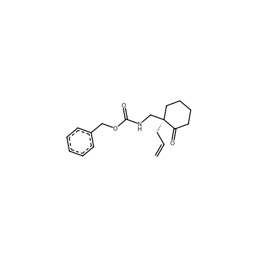 C=CC[C@]1(CNC(=O)OCc2ccccc2)CCCCC1=O